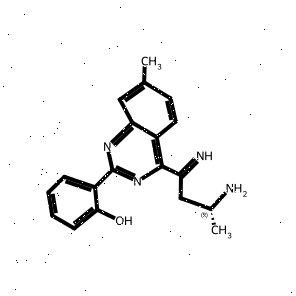 Cc1ccc2c(C(=N)C[C@@H](C)N)nc(-c3ccccc3O)nc2c1